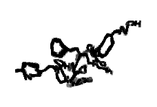 CC[C@H](C)[C@@H](C(=O)N[C@@H](Cc1ccccc1)[C@H](O)CN(CC(C)C)S(=O)(=O)c1ccc(C=NO)cc1)N1CCN(Cc2ccc(C)nc2)C1=O